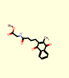 CC1=C(CCCC(=O)NCC(=O)OC(C)(C)C)C(=O)c2ccccc2C1=O